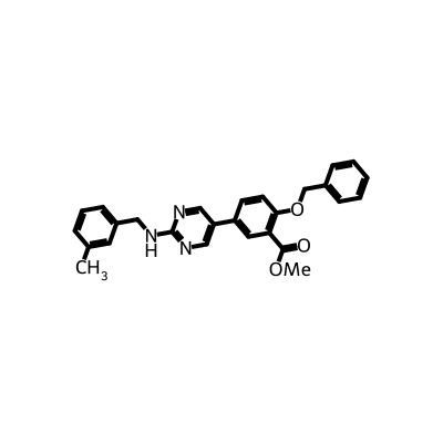 COC(=O)c1cc(-c2cnc(NCc3cccc(C)c3)nc2)ccc1OCc1ccccc1